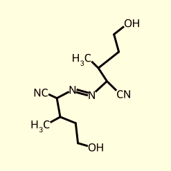 CC(CCO)C(C#N)N=NC(C#N)C(C)CCO